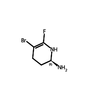 N[C@H]1CCC(Br)=C(F)N1